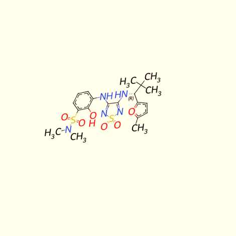 Cc1ccc([C@H](NC2=NS(=O)(=O)N=C2Nc2cccc(S(=O)(=O)N(C)C)c2O)C(C)(C)C)o1